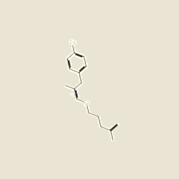 C=C(C)CCCO/C=C(/C)Cc1ccc(Br)cc1